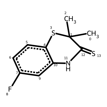 CC1(C)Sc2ccc(F)cc2NC1=S